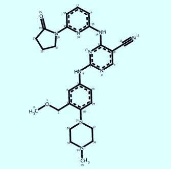 COCc1cc(Nc2ncc(C#N)c(Nc3cccc(N4CCCC4=O)n3)n2)ccc1N1CCN(C)CC1